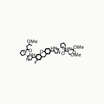 COC[C@H](NC(=O)OC)C(=O)N1CCC[C@H]1C1=NCC(c2ccc3c(c2)Cc2cc(F)c(C4CN=C([C@@H]5CCCN5C(=O)C[C@@H](C)OC)N4)cc2O3)N1